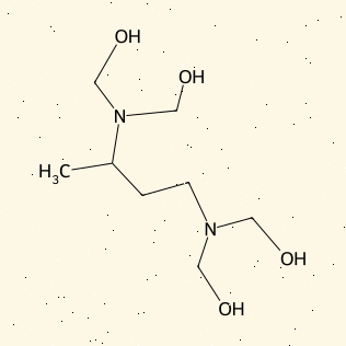 CC(CCN(CO)CO)N(CO)CO